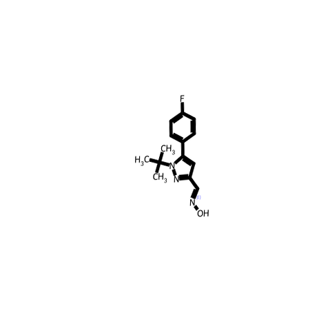 CC(C)(C)n1nc(/C=N/O)cc1-c1ccc(F)cc1